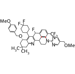 COCc1cnc(N2CCC(c3nc4c(c(C5CCC(F)(F)CC5)c3C(F)c3ccc(C(F)(F)F)cc3)[C@@H](OCc3ccc(OC)cc3)CC(C)(C)C4)CC2)nc1